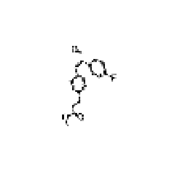 COC(=O)C=Cc1ccc(/C=C(/C=O)c2ccc(F)cc2)cc1